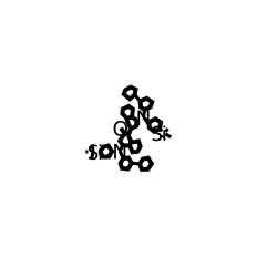 C[Si](C)(C)c1ccc(N(c2cccc(-c3ccccc3)c2)c2cc3c(oc4cc(N(c5ccc([Si](C)(C)C)cc5)c5cccc(-c6ccccc6)c5)c5ccccc5c43)c3ccccc23)cc1